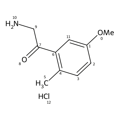 COc1ccc(C)c(C(=O)CN)c1.Cl